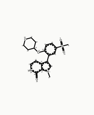 Cn1cc(-c2cc(S(C)(=O)=O)ccc2OC2CCOCC2)c2cc[nH]c(=O)c21